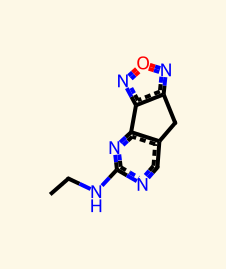 CCNc1ncc2c(n1)-c1nonc1C2